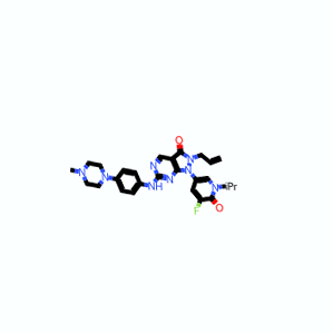 C=CCn1c(=O)c2cnc(Nc3ccc(N4CCN(C)CC4)cc3)nc2n1-c1cc(F)c(=O)n(C(C)C)c1